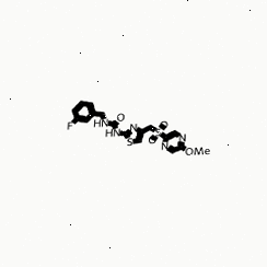 COc1cnc(S(=O)(=O)Cc2csc(NC(=O)NCc3cccc(F)c3)n2)cn1